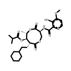 COc1ccnc(C(=O)N[C@H]2COC(=O)[C@H](CCC3CCCCC3)[C@@H](OC(=O)C(C)C)[C@H](C)OC2=O)c1O